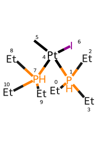 CC[PH](CC)(CC)[Pt]([CH3])([I])[PH](CC)(CC)CC